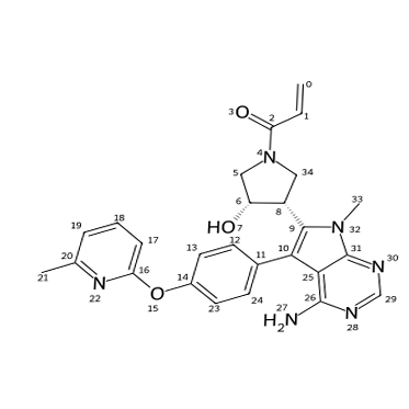 C=CC(=O)N1C[C@@H](O)[C@@H](c2c(-c3ccc(Oc4cccc(C)n4)cc3)c3c(N)ncnc3n2C)C1